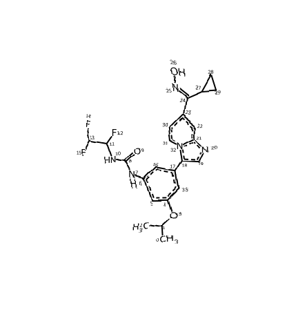 CC(C)Oc1cc(NC(=O)NC(F)C(F)F)cc(-c2cnc3cc(C(=NO)C4CC4)ccn23)c1